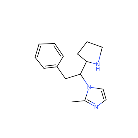 Cc1nccn1C(Cc1ccccc1)C1CCCN1